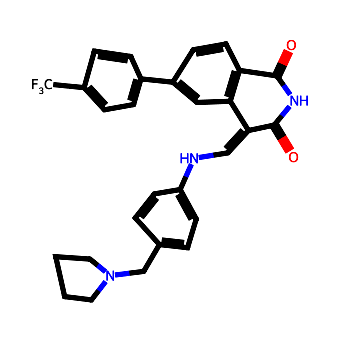 O=C1NC(=O)c2ccc(-c3ccc(C(F)(F)F)cc3)cc2C1=CNc1ccc(CN2CCCC2)cc1